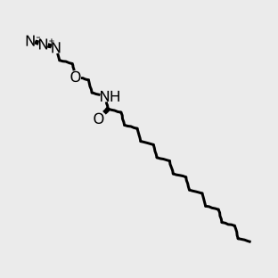 CCCCCCCCCCCCCCCCCC(=O)NCCOCCN=[N+]=[N-]